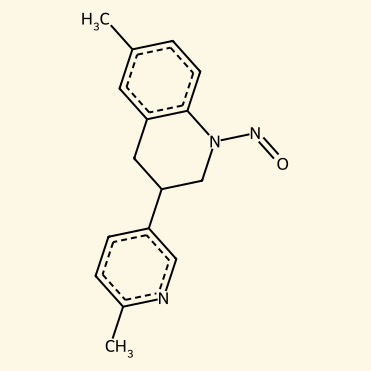 Cc1ccc2c(c1)CC(c1ccc(C)nc1)CN2N=O